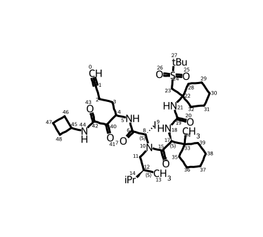 C#CCCC(NC(=O)[C@H](I)N(C[C@@H](C)C(C)C)C(=O)[C@@H](NC(=O)NC1(CS(=O)(=O)C(C)(C)C)CCCCC1)C1(C)CCCCC1)C(=O)C(=O)NC1CCC1